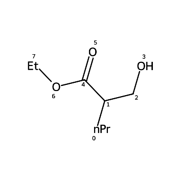 CCCC(CO)C(=O)OCC